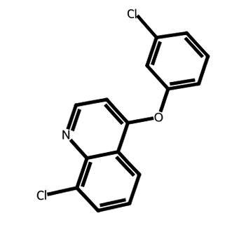 Clc1cccc(Oc2ccnc3c(Cl)cccc23)c1